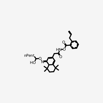 C=CCc1ccccc1C(=O)ONC(=O)CC1=CC(=NOC(O)CCCCC)C2C(=C1)C(C)(C)CCC2(C)C